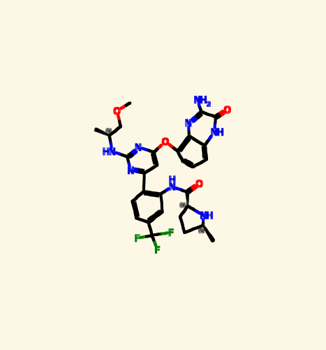 COC[C@H](C)Nc1nc(Oc2cccc3[nH]c(=O)c(N)nc23)cc(-c2ccc(C(F)(F)F)cc2NC(=O)[C@@H]2CC[C@H](C)N2)n1